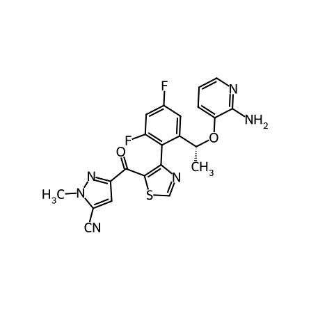 C[C@@H](Oc1cccnc1N)c1cc(F)cc(F)c1-c1ncsc1C(=O)c1cc(C#N)n(C)n1